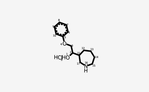 Cl.OC(COc1ccccc1)C1CCCCNC1